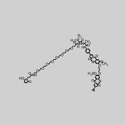 COc1cc2c(cc1OCCCOc1cc3c(cc1OC)C(=O)N1C=C(C4CC4)C[C@H]1C=N3)N=C[C@@H]1CC(c3ccc(NC(=O)[C@H](C)NC(=O)C(NC(=O)CCOCCOCCOCCOCCOCCOCCOCCOCCNC(=O)CCN4C(=O)C=CC4O)C(C)C)cc3)=CN1C2=O